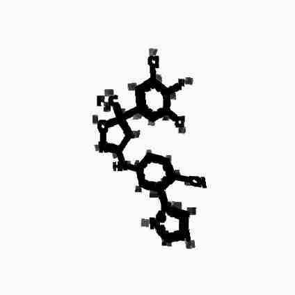 N#Cc1ccc(NC2=NOC(c3cc(Cl)c(F)c(Cl)c3)(C(F)(F)F)C2)cc1-n1cncn1